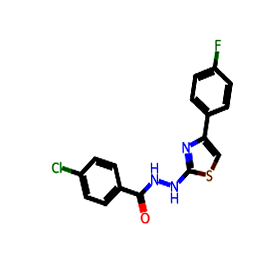 O=C(NNc1nc(-c2ccc(F)cc2)cs1)c1ccc(Cl)cc1